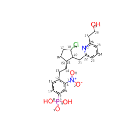 O=[N+]([O-])c1cc(P(=O)(O)O)ccc1CC[C@H]1CCC(Cl)C1Cc1cccc(CCO)n1